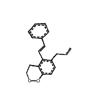 C=CCc1ccc2c(c1C=Cc1ccccc1)CCOO2